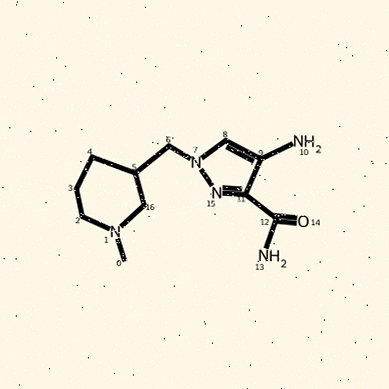 CN1CCCC(Cn2cc(N)c(C(N)=O)n2)C1